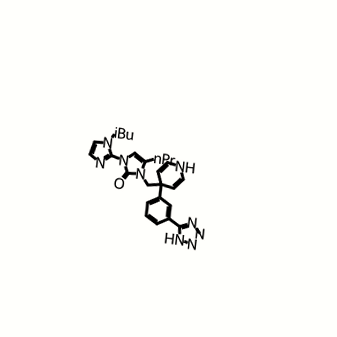 CCCc1cn(-c2nccn2C(C)CC)c(=O)n1CC1(c2cccc(-c3nnn[nH]3)c2)C=CNC=C1